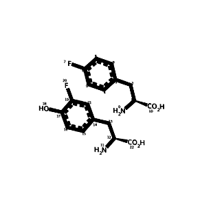 N[C@@H](Cc1ccc(F)cc1)C(=O)O.N[C@@H](Cc1ccc(O)c(F)c1)C(=O)O